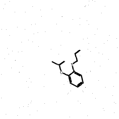 CCCSc1ccccc1OC(C)C